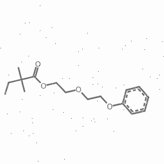 CCC(C)(C)C(=O)OCCOCCOc1ccccc1